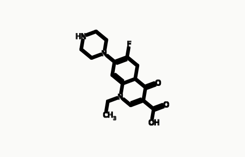 CCN1C=C(C(=O)O)C(=O)C2CC(F)=C(N3CCNCC3)C=C21